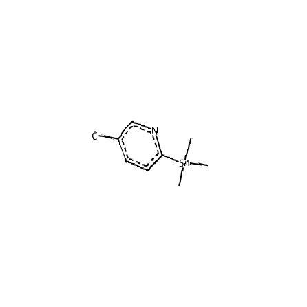 [CH3][Sn]([CH3])([CH3])[c]1ccc(Cl)cn1